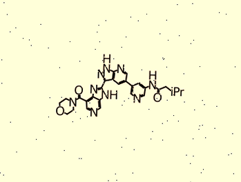 CC(C)CC(=O)Nc1cncc(-c2cnc3[nH]nc(-c4nc5c(C(=O)N6CCOCC6)cncc5[nH]4)c3c2)c1